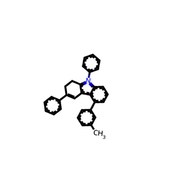 Cc1cccc(-c2cccc3c2c2c(n3-c3ccccc3)CCC(c3ccccc3)=C2)c1